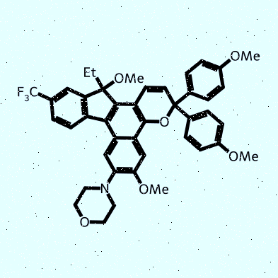 CCC1(OC)c2cc(C(F)(F)F)ccc2-c2c1c1c(c3cc(OC)c(N4CCOCC4)cc23)OC(c2ccc(OC)cc2)(c2ccc(OC)cc2)C=C1